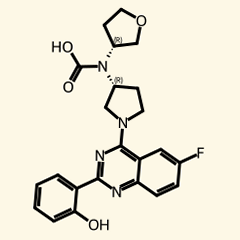 O=C(O)N([C@@H]1CCOC1)[C@@H]1CCN(c2nc(-c3ccccc3O)nc3ccc(F)cc23)C1